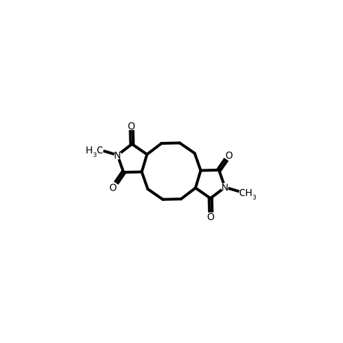 CN1C(=O)C2CCCC3C(=O)N(C)C(=O)C3CCCC2C1=O